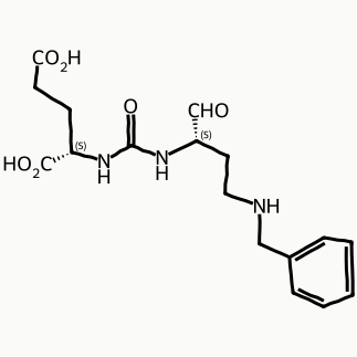 O=C[C@H](CCNCc1ccccc1)NC(=O)N[C@@H](CCC(=O)O)C(=O)O